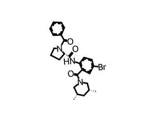 C[C@@H]1C[C@H](C)CN(C(=O)c2cc(Br)ccc2NC(=O)[C@@H]2CCCN2C(=O)c2ccccc2)C1